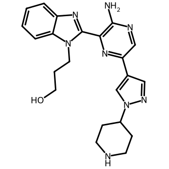 Nc1ncc(-c2cnn(C3CCNCC3)c2)nc1-c1nc2ccccc2n1CCCO